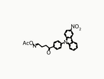 CC(=O)ON=CCCC(=O)c1ccc(-n2c3ccccc3c3cc([N+](=O)[O-])ccc32)cc1